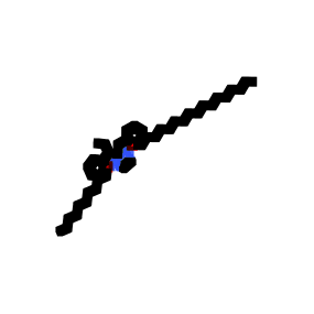 CCCCCCCCCCCCCCCCCCN1C=CN(CCCCCCCCCCC)C1(Cc1ccccc1)C(CC)c1ccccc1